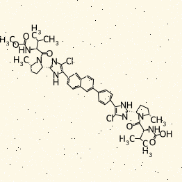 COC(=O)N[C@H](C(=O)N1[C@@H](C)CC[C@H]1c1nc(Cl)c(-c2ccc3cc(-c4ccc(-c5[nH]c([C@@H]6CC[C@H](C)N6C(=O)[C@@H](NC(=O)O)C(C)C)nc5Cl)cc4)ccc3c2)[nH]1)C(C)C